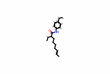 CC=CCCCCC(CC)C(=O)Nc1ccc(CC)cc1